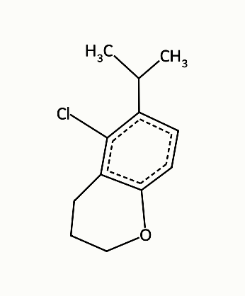 CC(C)c1ccc2c(c1Cl)CCCO2